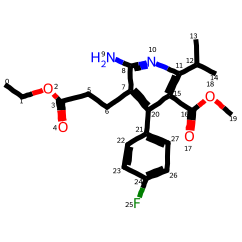 CCOC(=O)CCc1c(N)nc(C(C)C)c(C(=O)OC)c1-c1ccc(F)cc1